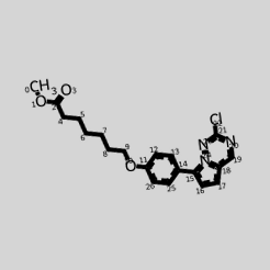 COC(=O)CCCCCCOc1ccc(-c2ccc3cnc(Cl)nn23)cc1